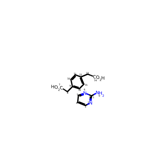 Nc1ncccn1.O=C(O)Cc1ccc(CC(=O)O)cc1